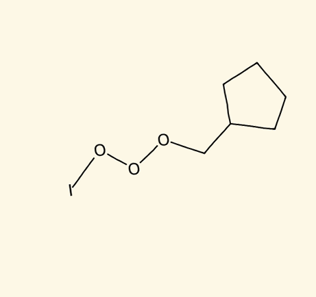 IOOOCC1CCCC1